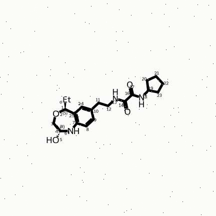 CC[C@@H]1OC[C@@H](O)Nc2ccc(CCNC(=O)C(=O)NC3CCCC3)cc21